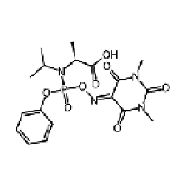 CC(C)N([C@@H](C)C(=O)O)P(=O)(ON=C1C(=O)N(C)C(=O)N(C)C1=O)Oc1ccccc1